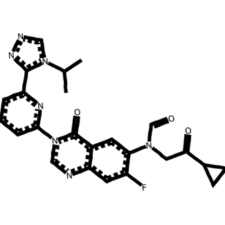 CC(C)n1cnnc1-c1cccc(-n2cnc3cc(F)c(N(C=O)CC(=O)C4CC4)cc3c2=O)n1